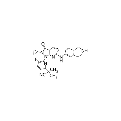 CC(C)(C#N)c1ccc(F)c(-n2c3nc(Nc4ccc5c(c4)CCNC5)ncc3c(=O)n2C2CC2)n1